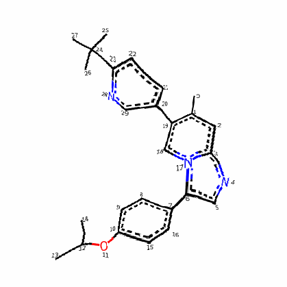 Cc1cc2ncc(-c3ccc(OC(C)C)cc3)n2cc1-c1ccc(C(C)(C)C)nc1